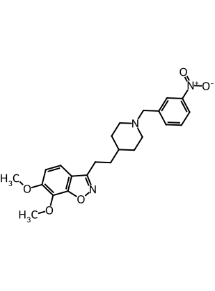 COc1ccc2c(CCC3CCN(Cc4cccc([N+](=O)[O-])c4)CC3)noc2c1OC